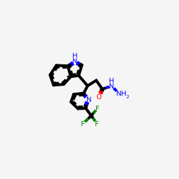 NNC(=O)CC(c1cccc(C(F)(F)F)n1)c1c[nH]c2ccccc12